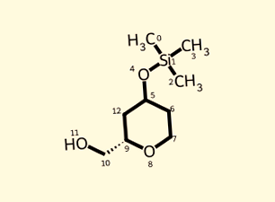 C[Si](C)(C)OC1CCO[C@H](CO)C1